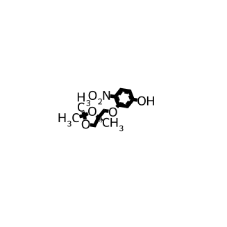 CC1(C)OC[C@](C)(COc2cc(O)ccc2[N+](=O)[O-])O1